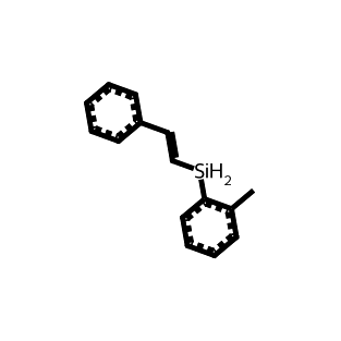 Cc1ccccc1[SiH2]C=Cc1ccccc1